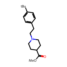 COC(=O)C1CCN(CCc2ccc(C(C)(C)C)cc2)CC1